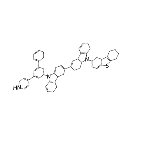 C1=CCCC(C2=CC(C3=CCNC=C3)=CC(N3C4=CC=C(C5=CC6C7=C(CCC=C7)N(C7=CC=C8SC9=C(CCCC9)C8C7)C6CC5)CC4C4=C3C=CCC4)C2)=C1